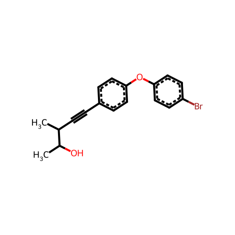 CC(O)C(C)C#Cc1ccc(Oc2ccc(Br)cc2)cc1